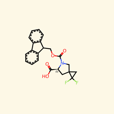 O=C(O)[C@@H]1CC2(CN1C(=O)OCC1c3ccccc3-c3ccccc31)CC2(F)F